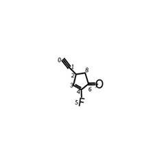 C#CC1C=C(F)C(=O)C1